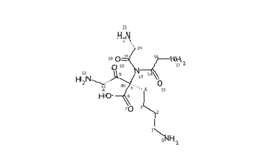 NCCCC[C@](C(=O)O)(C(=O)CN)N(C(=O)CN)C(=O)CN